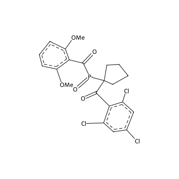 COc1cccc(OC)c1C(=O)[P](=O)C1(C(=O)c2c(Cl)cc(Cl)cc2Cl)CCCC1